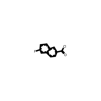 O=C(Cl)c1ccc2cc(F)ccc2c1